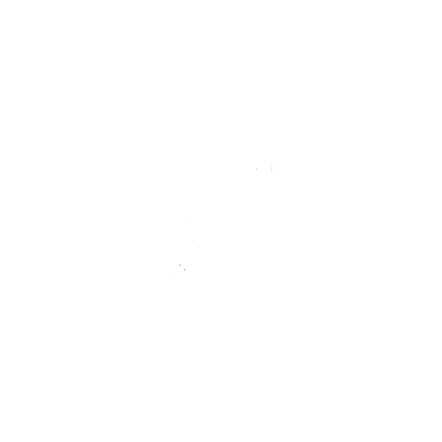 NC(=O)[C@H]1CCC[C@H]1CO